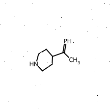 CC(=P)C1CCNCC1